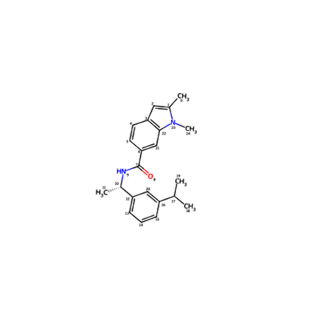 Cc1cc2ccc(C(=O)N[C@@H](C)c3cccc(C(C)C)c3)cc2n1C